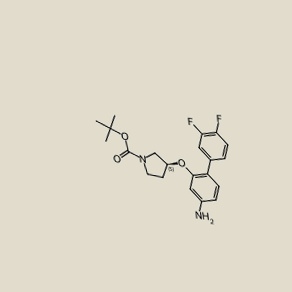 CC(C)(C)OC(=O)N1CC[C@H](Oc2cc(N)ccc2-c2ccc(F)c(F)c2)C1